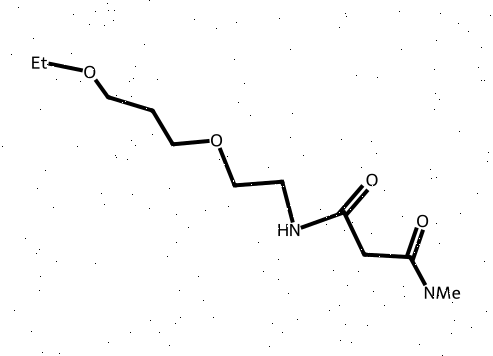 CCOCCCOCCNC(=O)CC(=O)NC